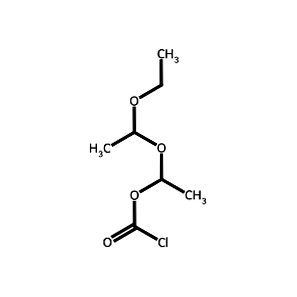 CCOC(C)OC(C)OC(=O)Cl